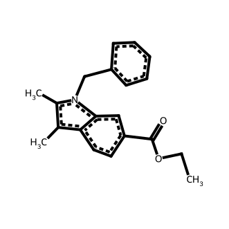 CCOC(=O)c1ccc2c(C)c(C)n(Cc3ccccc3)c2c1